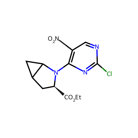 CCOC(=O)[C@H]1CC2CC2N1c1nc(Cl)ncc1[N+](=O)[O-]